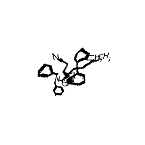 CCC(C)CC(CC(C)(CCC#N)C(=O)N(Cc1ccccc1)Cc1ccccc1)(c1ccccc1)c1ccccc1